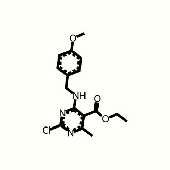 CCOC(=O)c1c(C)nc(Cl)nc1NCc1ccc(OC)cc1